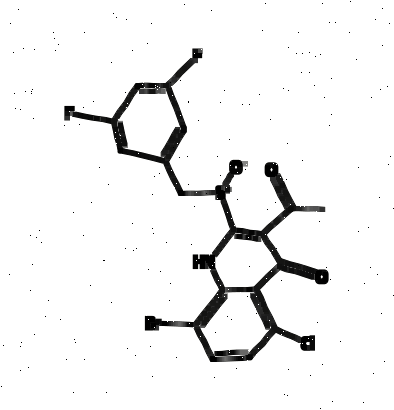 CC(=O)c1c([S+]([O-])Cc2cc(F)cc(F)c2)[nH]c2c(Br)ccc(Cl)c2c1=O